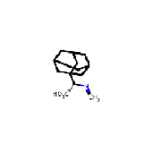 C=N[C@H](C(=O)O)C12CC3CC(CC(C3)C1)C2